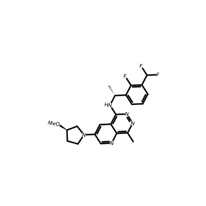 CO[C@@H]1CCN(c2cnc3c(C)nnc(N[C@H](C)c4cccc(C(F)F)c4F)c3c2)C1